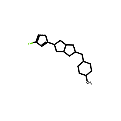 CC1CCC(CC2CC3CC(C4=CC(F)=CC4)CC3C2)CC1